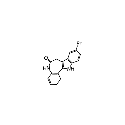 O=C1Cc2c([nH]c3ccc(Br)cc23)C2=C(C=CCC2)N1